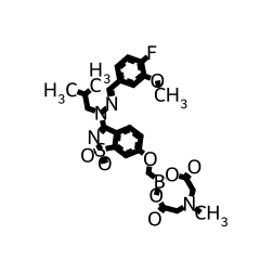 COc1cc(/C=N/N(CC(C)C)C2=NS(=O)(=O)c3cc(OCB4OC(=O)CN(C)CC(=O)O4)ccc32)ccc1F